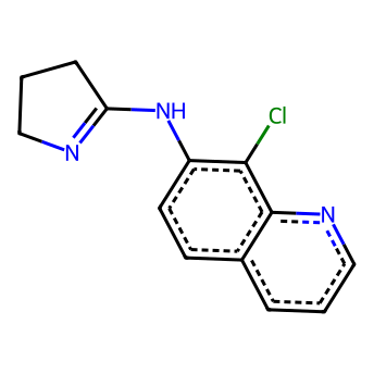 Clc1c(NC2=NCCC2)ccc2cccnc12